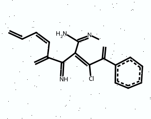 C=C/C=C\C(=C)C(=N)C(/C(N)=N\C)=C(\Cl)C(=C)c1ccccc1